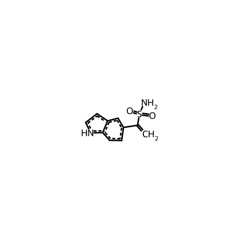 C=C(c1ccc2[nH]ccc2c1)S(N)(=O)=O